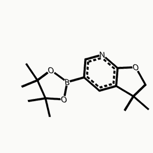 CC1(C)COc2ncc(B3OC(C)(C)C(C)(C)O3)cc21